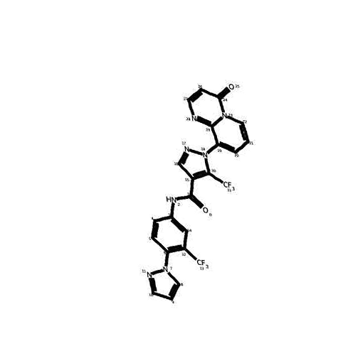 O=C(Nc1ccc(-n2cccn2)c(C(F)(F)F)c1)c1cnn(-c2cccn3c(=O)ccnc23)c1C(F)(F)F